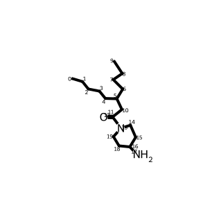 CCCCCC(CCCC)CC(=O)N1CCC(N)CC1